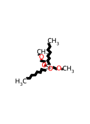 CCCCCCCCC[Si](CCCCCCCCC)(OCCOCC)OCCOCC